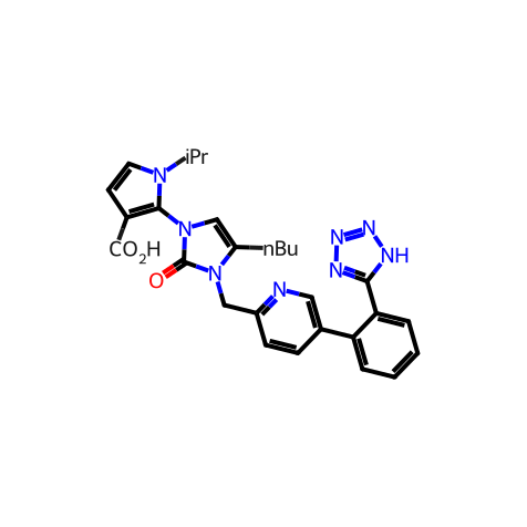 CCCCc1cn(-c2c(C(=O)O)ccn2C(C)C)c(=O)n1Cc1ccc(-c2ccccc2-c2nnn[nH]2)cn1